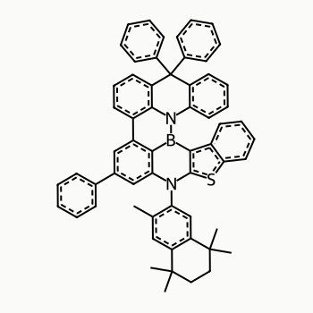 Cc1cc2c(cc1N1c3cc(-c4ccccc4)cc4c3B(c3c1sc1ccccc31)N1c3ccccc3C(c3ccccc3)(c3ccccc3)c3cccc-4c31)C(C)(C)CCC2(C)C